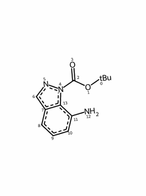 CC(C)(C)OC(=O)n1ncc2cccc(N)c21